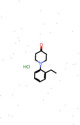 CCc1ccccc1N1CCC(=O)CC1.Cl